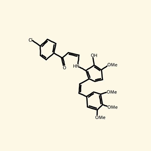 COc1ccc(/C=C\c2cc(OC)c(OC)c(OC)c2)c(N/C=C\C(=O)c2ccc(Cl)cc2)c1O